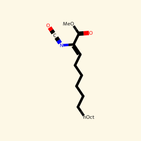 CCCCCCCCCCCCCC=C(N=C=O)C(=O)OC